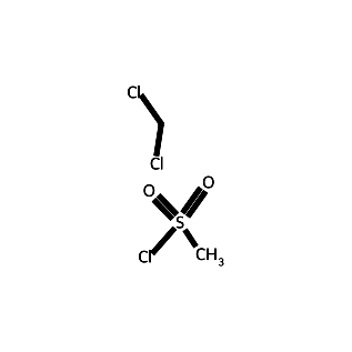 CS(=O)(=O)Cl.ClCCl